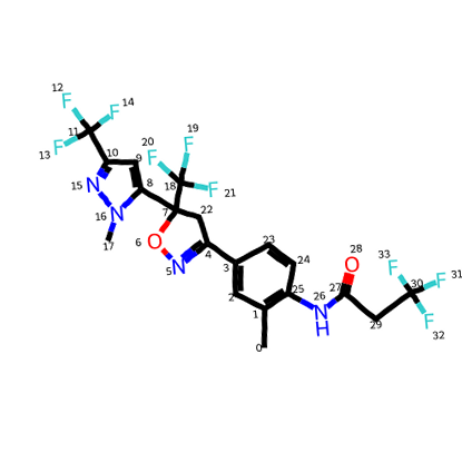 Cc1cc(C2=NOC(c3cc(C(F)(F)F)nn3C)(C(F)(F)F)C2)ccc1NC(=O)CC(F)(F)F